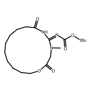 CN1CC(=O)OCCCCCCCCCC(=O)N/C1=N/C(=O)OC(C)(C)C